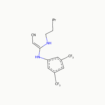 CC(C)CCNC(=CC#N)Nc1cc(C(F)(F)F)cc(C(F)(F)F)c1